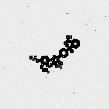 COc1ccc(C2=NN(C3CCN(S(=O)(=O)c4ccccc4C(=O)O)CC3)C(=O)C2(C)C)cc1OC